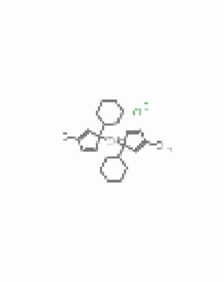 CC1=C[C]([Zr+2][C]2(C3CCCCC3)C=CC(C)=C2)(C2CCCCC2)C=C1.[Cl-].[Cl-]